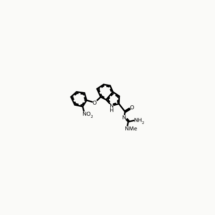 CNC(N)=NC(=O)c1cc2cccc(Oc3ccccc3[N+](=O)[O-])c2[nH]1